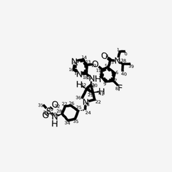 CCN(C(=O)c1cc(F)ccc1Oc1cncnc1N[C@H]1[C@@H]2CN(C[C@H]3CC[C@H](NS(C)(=O)=O)CC3)C[C@@H]21)C(C)C